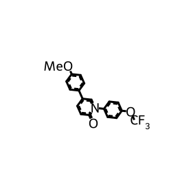 COc1ccc(-c2ccc(=O)n(-c3ccc(OC(F)(F)F)cc3)c2)cc1